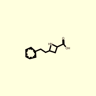 O=C(O)C1CC(CCc2ccccc2)N1